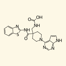 O=C(O)NCC1(C(=O)Nc2nc3ccccc3s2)CCN(c2ncnc3[nH]ccc23)CC1